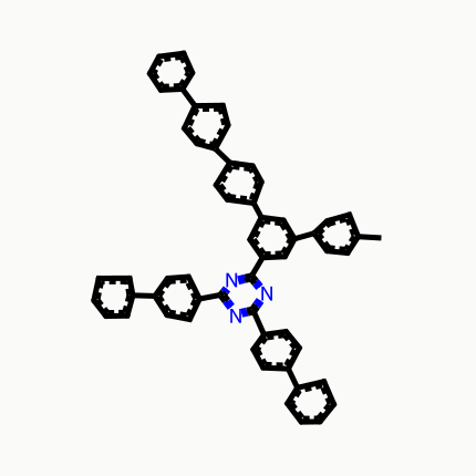 Cc1ccc(-c2cc(-c3ccc(-c4ccc(-c5ccccc5)cc4)cc3)cc(-c3nc(-c4ccc(-c5ccccc5)cc4)nc(-c4ccc(-c5ccccc5)cc4)n3)c2)cc1